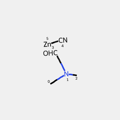 CN(C)C=O.N#[C][Zn]